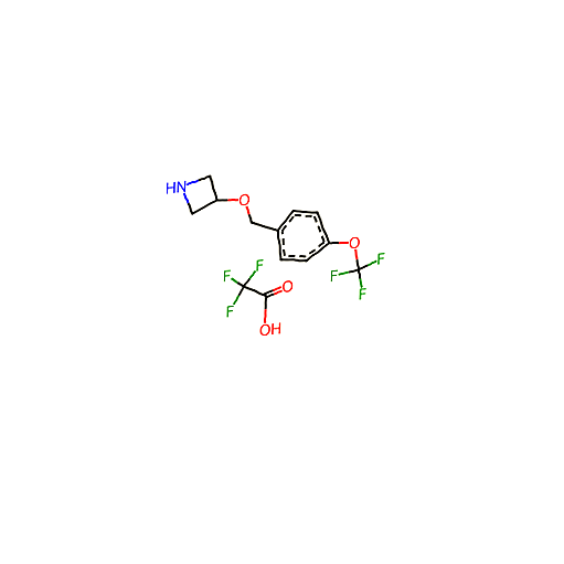 FC(F)(F)Oc1ccc(COC2CNC2)cc1.O=C(O)C(F)(F)F